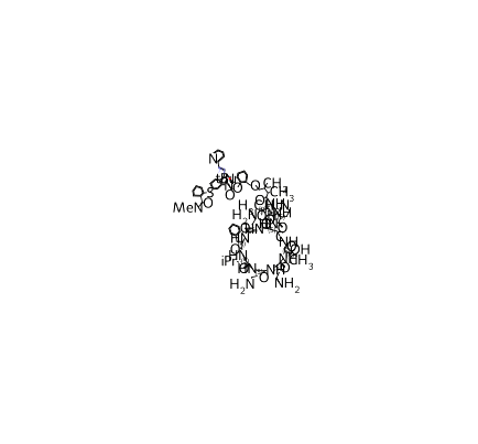 CNC(=O)c1ccccc1Sc1ccc2c(/C=C/c3ccccn3)nn(C(=O)Oc3c(COCC(C)C(C)C(=O)N[C@H](C(=O)N[C@@H](CCN)C(=O)N[C@H]4CCNC(=O)[C@H]([C@@H](C)O)NC(=O)[C@H](CCN)NC(=O)[C@H](CCN)NC(=O)[C@H](CC(C)C)NC(=O)[C@@H](Cc5ccccc5)NC(=O)[C@H](CCN)NC4=O)[C@@H](C)O)cccc3C(C)(C)C)c2c1